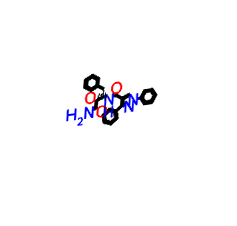 NC(=O)C(=O)[C@H](Cc1ccccc1)NC(=O)c1cn(-c2ccccc2)nc1-c1ccccc1